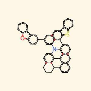 c1cc(-c2ccc3oc4ccccc4c3c2)cc(N(c2ccccc2-c2cccc3c2sc2ccccc23)c2ccccc2-c2cccc3cccc(C4CCCCC4)c23)c1